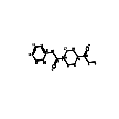 CCC(=O)C1CCN(C(=O)Cc2ccccc2)CC1